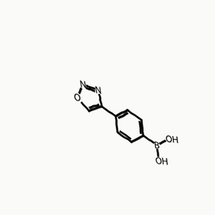 OB(O)c1ccc(-c2conn2)cc1